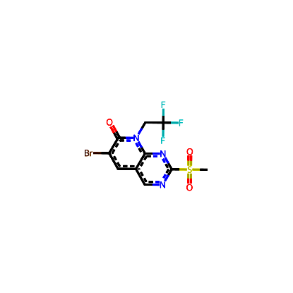 CS(=O)(=O)c1ncc2cc(Br)c(=O)n(CC(F)(F)F)c2n1